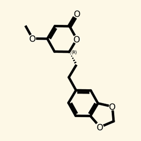 COC1=CC(=O)O[C@H](CCc2ccc3c(c2)OCO3)C1